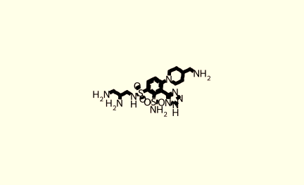 NCC(N)CNS(=O)(=O)c1ccc(N2CCC(CN)CC2)c(-c2nn[nH]n2)c1S(N)(=O)=O